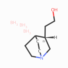 B.B.B.OCC[C@@H]1CN2CCC1CC2